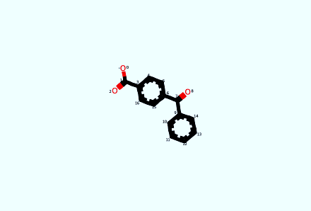 [O]C(=O)c1ccc(C(=O)c2ccccc2)cc1